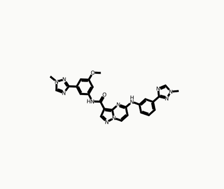 COc1cc(NC(=O)c2cnn3ccc(Nc4cccc(-c5ncn(C)n5)c4)nc23)cc(-c2ncn(C)n2)c1